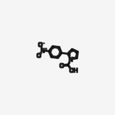 O=C(O)n1cccc1-c1ccc([N+](=O)[O-])cc1